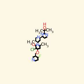 Cc1cc(OCc2cnccc2F)c(Cl)c(=O)n1C1=CC(c2ccnc(C(C)(C)O)n2)=NC[C@H]1C